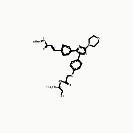 CCCCCCNC(=O)/C=C/c1ccc(-c2sc(N3CCOCC3)nc2-c2ccc(OCC(=O)N[C@@H](CO)C(=O)O)cc2)cc1